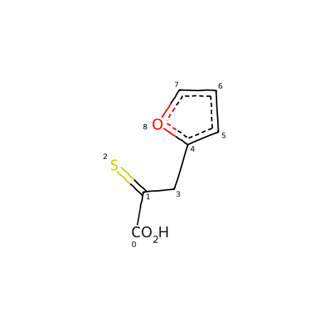 O=C(O)C(=S)Cc1ccco1